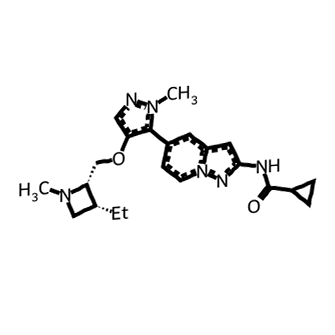 CC[C@@H]1CN(C)[C@@H]1COc1cnn(C)c1-c1ccn2nc(NC(=O)C3CC3)cc2c1